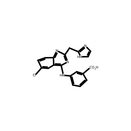 O=C(O)c1cccc(Nc2nc(Cc3ncc[nH]3)nc3ccc(Cl)cc23)c1